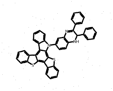 c1ccc(C2=Nc3cc(-n4c5ccccc5c5c6c7ccccc7sc6c6c7ccccc7sc6c54)ccc3NC2c2ccccc2)cc1